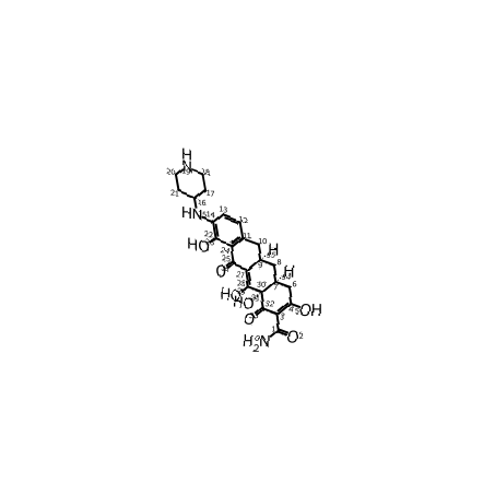 NC(=O)C1=C(O)C[C@@H]2C[C@@H]3Cc4ccc(NC5CCNCC5)c(O)c4C(=O)C3=C(O)[C@]2(O)C1=O